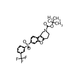 CC(C)(C)OC(=O)N1CCc2oc3cc(S(=O)(=O)c4cccc(C(F)(F)F)c4)ccc3c2C1